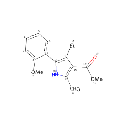 CCc1c(-c2ccccc2OC)[nH]c(C=O)c1C(=O)OC